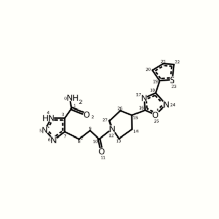 NC(=O)c1[nH]nnc1[CH]CC(=O)N1CCC(c2nc(-c3cccs3)no2)CC1